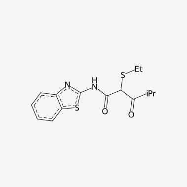 CCSC(C(=O)Nc1nc2ccccc2s1)C(=O)C(C)C